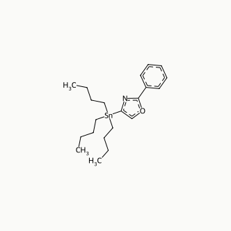 CCC[CH2][Sn]([CH2]CCC)([CH2]CCC)[c]1coc(-c2ccccc2)n1